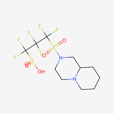 O=S(=O)(O)C(F)(F)C(F)(F)C(F)(F)S(=O)(=O)N1CCN2CCCCC2C1